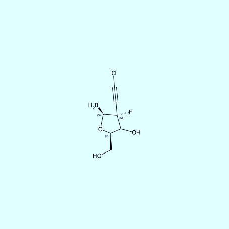 B[C@@H]1O[C@H](CO)C(O)[C@]1(F)C#CCl